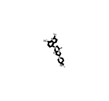 [2H]c1ccc2c(N3C[C@@H]4C[C@H](N5CCC(C)(N)CC5)CN4[C@H](C)C3)ccc(C#N)c2n1